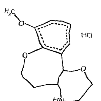 COc1cccc2c1OCCC1NCCOC21.Cl